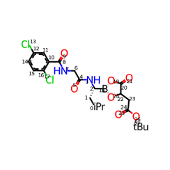 CC(C)C[C@H](NC(=O)CNC(=O)c1cc(Cl)ccc1Cl)B1OC(=O)C(CC(=O)OC(C)(C)C)O1